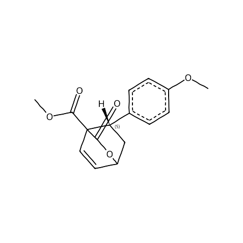 COC(=O)C12C=CC(C[C@H]1c1ccc(OC)cc1)OC2=O